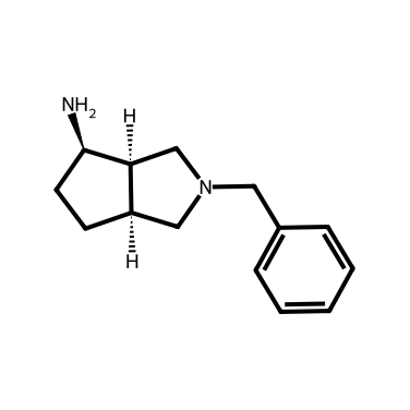 N[C@@H]1CC[C@@H]2CN(Cc3ccccc3)C[C@@H]21